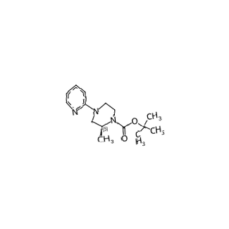 C[C@H]1CN(c2ccccn2)CCN1C(=O)OC(C)(C)C